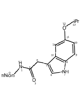 CCCCCCCCCNC(=O)Cc1c[nH]c2ccc(OC(C)C)cc12